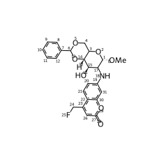 CO[C@H]1OC2COC(c3ccccc3)O[C@H]2[C@H](O)C1Nc1ccc2c(CF)cc(=O)oc2c1